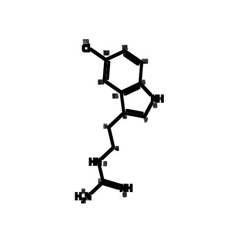 N=C(N)NCCc1c[nH]c2ccc(Cl)cc12